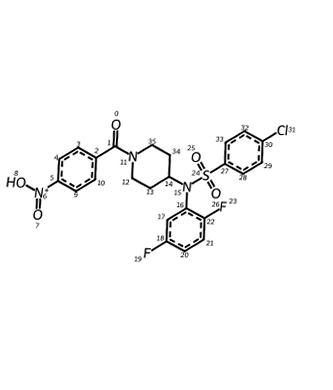 O=C(c1ccc([N+](=O)O)cc1)N1CCC(N(c2cc(F)ccc2F)S(=O)(=O)c2ccc(Cl)cc2)CC1